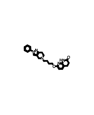 O=C1CCc2ccc(OCCCCN3CCc4nn(-c5ccccc5)cc4C3)nc2N1